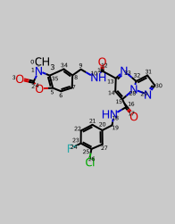 Cn1c(=O)oc2ccc(CNC(=O)c3cc(C(=O)NCc4ccc(F)c(Cl)c4)n4nccc4n3)cc21